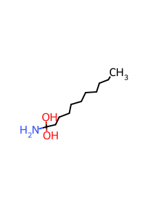 CCCCCCCCCCC(N)(O)O